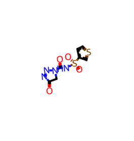 O=C1CN(C(=O)NS(=O)(=O)c2ccsc2)N=N1